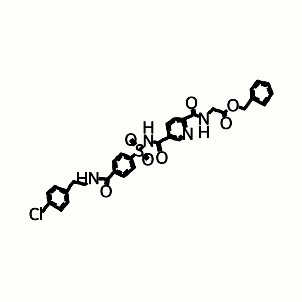 O=C(CNC(=O)c1ccc(C(=O)NS(=O)(=O)c2ccc(C(=O)NCCc3ccc(Cl)cc3)cc2)cn1)OCc1ccccc1